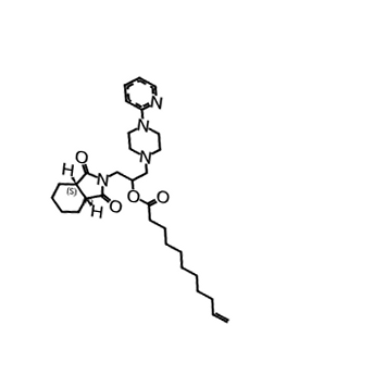 C=CCCCCCCCCC(=O)OC(CN1CCN(c2ccccn2)CC1)CN1C(=O)[C@H]2CCCC[C@H]2C1=O